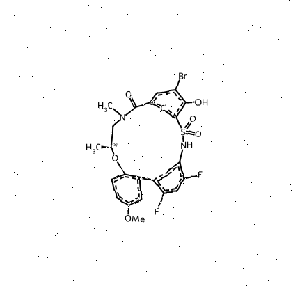 COc1ccc2c(c1)-c1cc(c(F)cc1F)NS(=O)(=O)c1cc(cc(Br)c1O)C(=O)N(C)C[C@H](C)O2